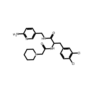 Nc1ccc(CNC(=O)C(Cc2ccc(Cl)c(Cl)c2)NC(=O)CN2CCCCC2)cn1